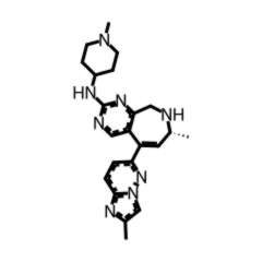 Cc1cn2nc(C3=C[C@@H](C)NCc4nc(NC5CCN(C)CC5)ncc43)ccc2n1